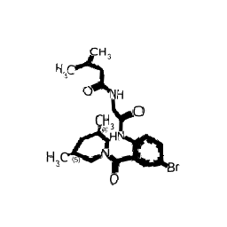 CC(C)CC(=O)NCC(=O)Nc1ccc(Br)cc1C(=O)N1C[C@H](C)C[C@H](C)C1